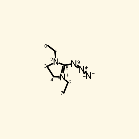 CCN1CC[N+](CC)=C1N=[N+]=[N-]